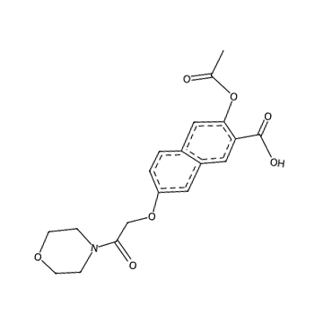 CC(=O)Oc1cc2ccc(OCC(=O)N3CCOCC3)cc2cc1C(=O)O